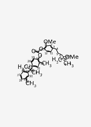 COc1cc(CCC[Si](C)(C)OC)ccc1OC(=O)Oc1ccc(C(C)(C)c2cccc(C)c2)cc1C